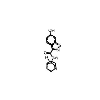 O=C(N[C@@H]1CN2CCC1CC2)c1nsc2cc(O)ccc12